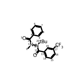 CN(C(=O)c1ccccc1)N(C(=O)c1cccc(C(F)(F)F)c1)C(C)(C)C